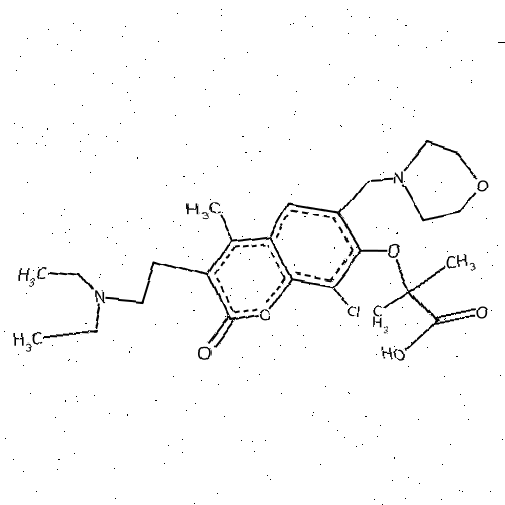 CCN(CC)CCc1c(C)c2cc(CN3CCOCC3)c(OC(C)(C)C(=O)O)c(Cl)c2oc1=O